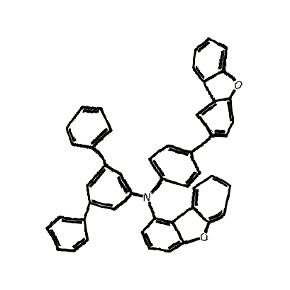 c1ccc(-c2cc(-c3ccccc3)cc(N(c3ccc(-c4ccc5oc6ccccc6c5c4)cc3)c3cccc4oc5ccccc5c34)c2)cc1